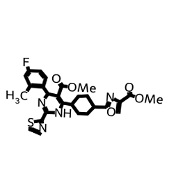 COC(=O)C1=C(C2CCC(c3nc(C(=O)OC)co3)CC2)NC(c2nccs2)=NC1c1ccc(F)cc1C